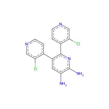 Nc1cc(-c2ccncc2Cl)c(-c2ccncc2Cl)nc1N